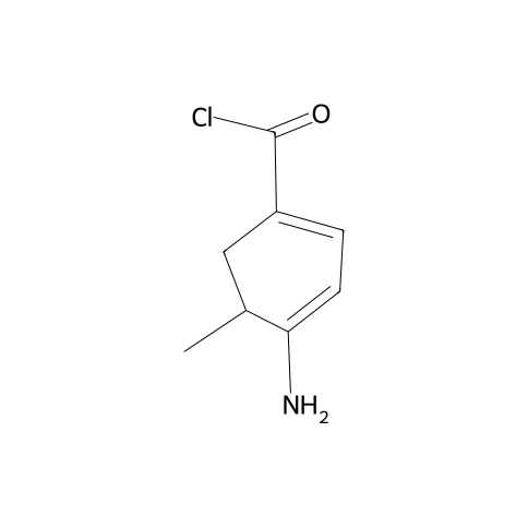 CC1CC(C(=O)Cl)=CC=C1N